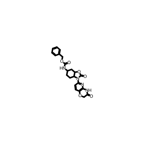 O=C1COc2ccc(N3C(=O)OC4CC(NC(=O)OCc5ccccc5)CCC43)nc2N1